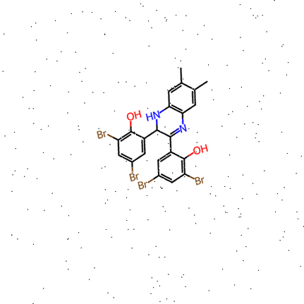 Cc1cc2c(cc1C)NC(c1cc(Br)cc(Br)c1O)C(c1cc(Br)cc(Br)c1O)=N2